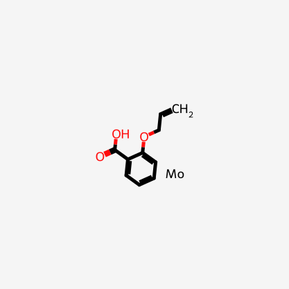 C=CCOc1ccccc1C(=O)O.[Mo]